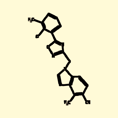 N#Cc1ccc2c(ccn2Cc2noc(-c3cccc(C(F)(F)F)c3Cl)n2)c1C(F)(F)F